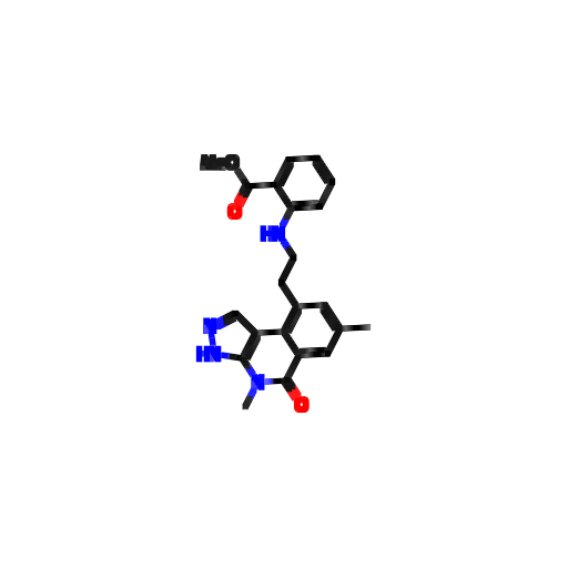 COC(=O)c1ccccc1NCCc1cc(C)cc2c(=O)n(C)c3[nH]ncc3c12